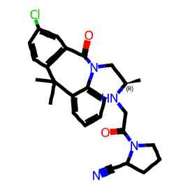 C[C@H](CN1C(=O)c2cc(Cl)ccc2C(C)(C)c2ccccc21)NCC(=O)N1CCCC1C#N